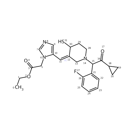 CCOC(=O)Cn1cncc1/C=C1/CN(C(C(=O)C2CC2)c2ccccc2F)CCC1S